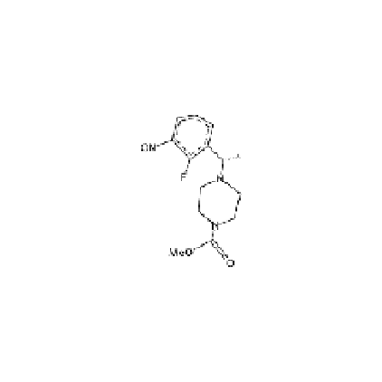 COC(=O)N1CCN([C@@H](C)c2cccc(N=O)c2F)CC1